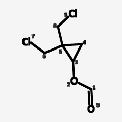 O=COC1CC1(CCl)CCl